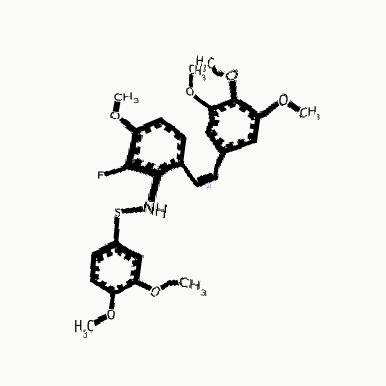 COc1ccc(SNc2c(/C=C\c3cc(OC)c(OC)c(OC)c3)ccc(OC)c2F)cc1OC